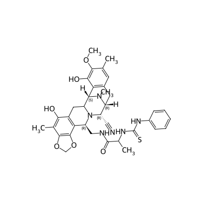 COc1c(C)cc2c(c1O)[C@H]1C3Cc4c(O)c(C)c5c(c4[C@H](CNC(=O)C(C)NC(=S)Nc4ccccc4)N3[C@@H](C#N)[C@@H](C2)N1C)OCO5